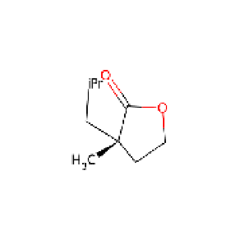 CC(C)C[C@@]1(C)CCOC1=O